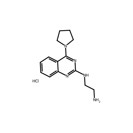 Cl.NCCNc1nc(N2CCCC2)c2ccccc2n1